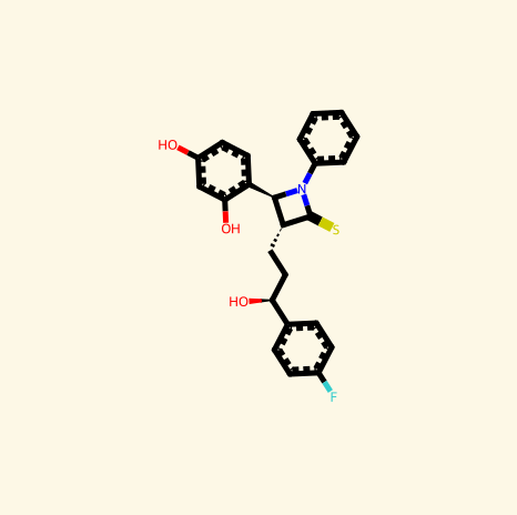 Oc1ccc([C@@H]2[C@@H](CC[C@H](O)c3ccc(F)cc3)C(=S)N2c2ccccc2)c(O)c1